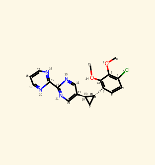 COc1c(Cl)ccc([C@@H]2C[C@H]2c2cnc(-c3ncccn3)nc2)c1OC